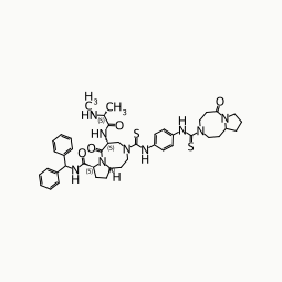 CN[C@@H](C)C(=O)N[C@H]1CN(C(=S)Nc2ccc(NC(=S)N3CCC(=O)N4CCCC4CC3)cc2)CC[C@H]2CC[C@@H](C(=O)NC(c3ccccc3)c3ccccc3)N2C1=O